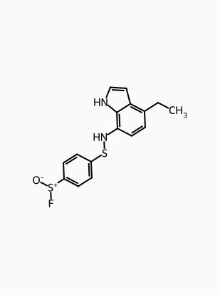 CCc1ccc(NSc2ccc([S+]([O-])F)cc2)c2[nH]ccc12